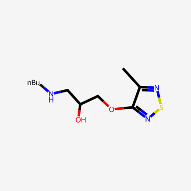 CCCCNCC(O)COc1nsnc1C